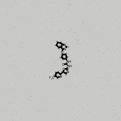 O=C(Nc1ccc(Oc2ncnc3ccccc23)cc1)Nc1ncc(-c2ccc(C(F)(F)F)cn2)o1